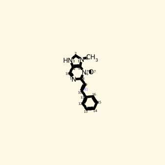 CN1CNC2=C1[N+](=O)C(/C=C/c1ccccc1)N=C2